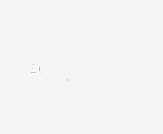 CCc1cc[c]cc1Oc1cccc(C)c1C